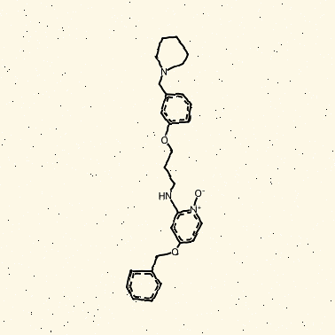 [O-][n+]1ccc(OCc2ccccc2)cc1NCCCOc1cccc(CN2CCCCC2)c1